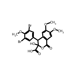 COc1cc2c(cc1OC)C(c1cc(Br)c(OC)c(Br)c1)C(O)(C(=O)O)OC2=O